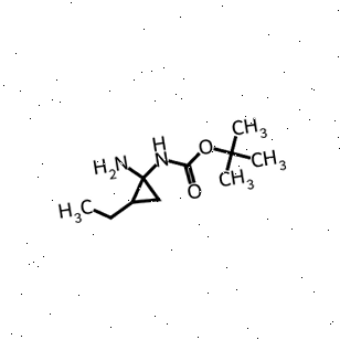 CCC1CC1(N)NC(=O)OC(C)(C)C